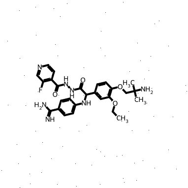 CCOc1cc(C(Nc2ccc(C(=N)N)cc2)C(=O)NNC(=O)c2ccncc2F)ccc1OCC(C)(C)N